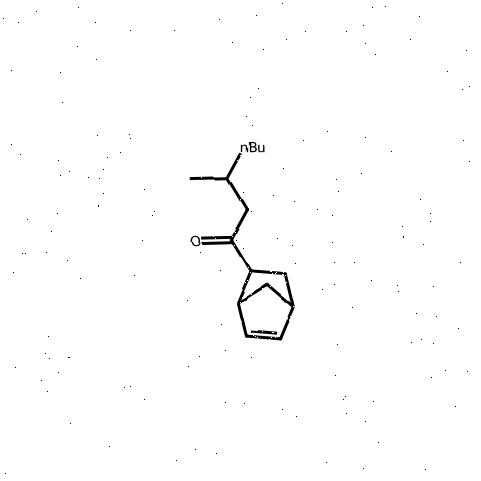 CCCCC(C)CC(=O)C1CC2C=CC1C2